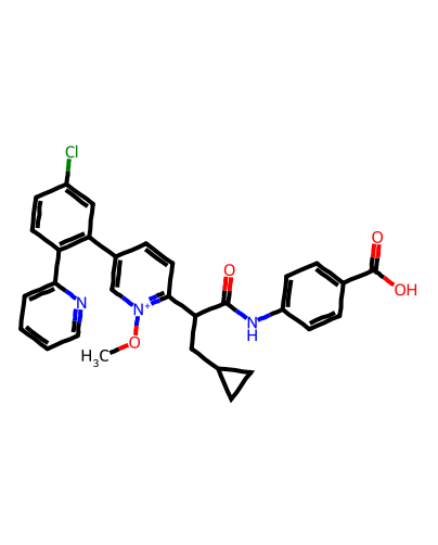 CO[n+]1cc(-c2cc(Cl)ccc2-c2ccccn2)ccc1C(CC1CC1)C(=O)Nc1ccc(C(=O)O)cc1